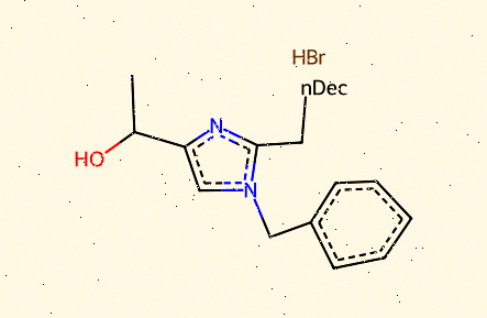 Br.CCCCCCCCCCCc1nc(C(C)O)cn1Cc1ccccc1